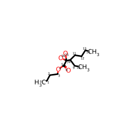 CCCCOC(=O)C1(C(CC)CCCC)OO1